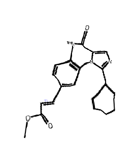 COC(=O)/C=C/c1ccc2[nH]c(=O)c3cnc(C4CCCCC4)n3c2c1